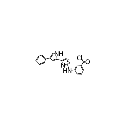 O=C(Cl)c1cccc(Nc2nc(-c3cc(-c4ccccc4)c[nH]3)cs2)c1